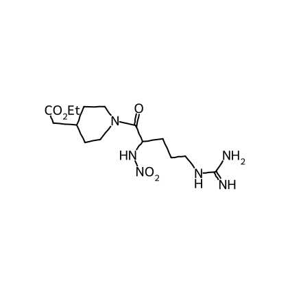 CCOC(=O)CC1CCN(C(=O)C(CCCNC(=N)N)N[N+](=O)[O-])CC1